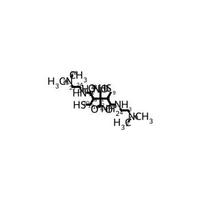 CN(C)CCNC(=O)C(CS)C(C(N)=O)(C(N)=O)C(CS)C(=O)NCCN(C)C